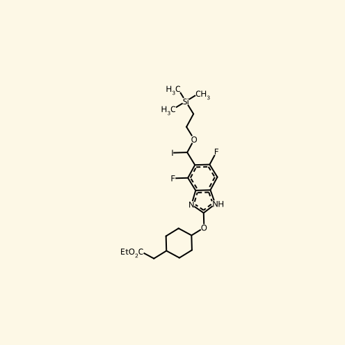 CCOC(=O)CC1CCC(Oc2nc3c(F)c(C(I)OCC[Si](C)(C)C)c(F)cc3[nH]2)CC1